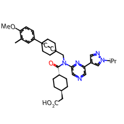 COc1ccc(C23CCC(CN(c4cncc(-c5cnn(C(C)C)c5)n4)C(=O)[C@H]4CC[C@H](CC(=O)O)CC4)(CC2)CC3)cc1C